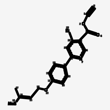 C#COC(=O)c1cnc(-c2ccc(OCC=C(C)SC)cc2)cc1CC